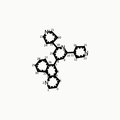 c1cnc2c(c1)cc(-c1cc(-c3ccncc3)nc(-c3ccncc3)c1)c1ccccc12